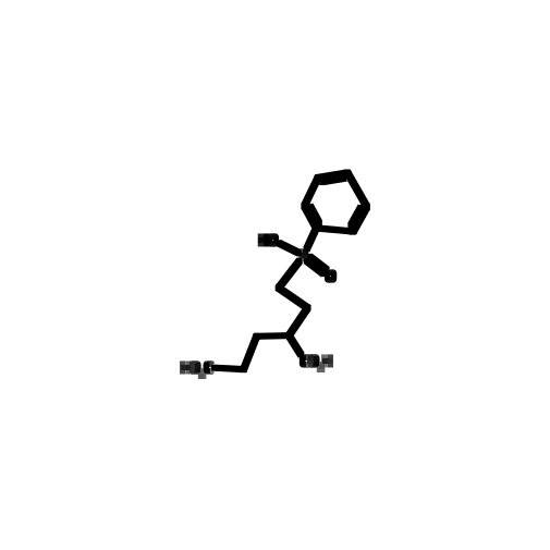 O=C(O)CCC(CCP(=O)(O)c1ccccc1)C(=O)O